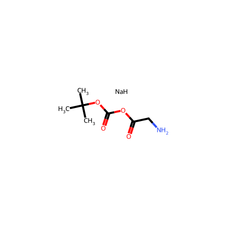 CC(C)(C)OC(=O)OC(=O)CN.[NaH]